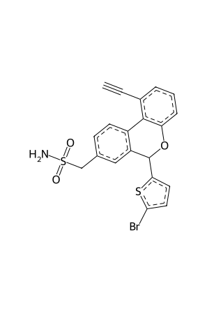 C#Cc1cccc2c1-c1ccc(CS(N)(=O)=O)cc1C(c1ccc(Br)s1)O2